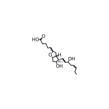 CC/C=C\CC(O)/C=C/[C@H]1C(O)CC2O/C(=C\CCCC(=O)O)C[C@@H]21